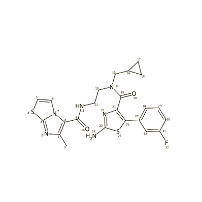 Cc1nc2sccn2c1C(=O)NCCN(CC1CC1)C(=O)c1nc(N)sc1-c1cccc(F)c1